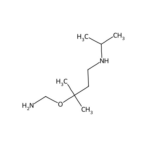 CC(C)NCCC(C)(C)OCN